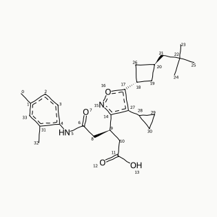 Cc1ccc(NC(=O)C[C@H](CC(=O)O)c2noc([C@H]3C[C@H](CC(C)(C)C)C3)c2C2CC2)c(C)c1